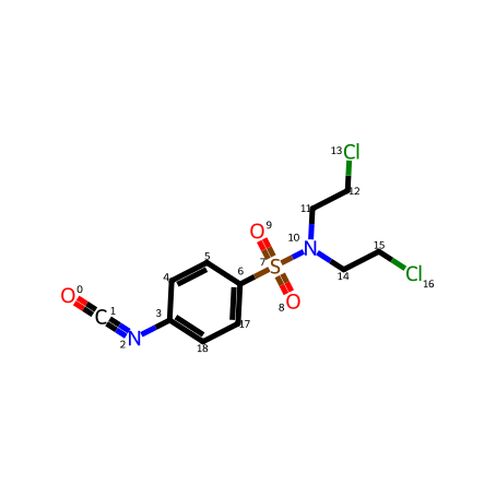 O=C=Nc1ccc(S(=O)(=O)N(CCCl)CCCl)cc1